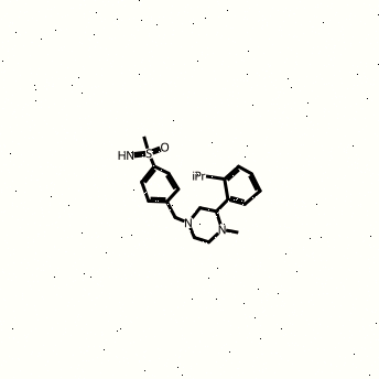 CC(C)c1ccccc1C1CN(Cc2ccc(S(C)(=N)=O)cc2)CCN1C